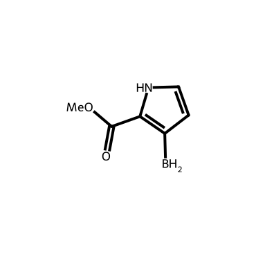 Bc1cc[nH]c1C(=O)OC